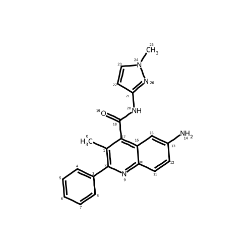 Cc1c(-c2ccccc2)nc2ccc(N)cc2c1C(=O)Nc1ccn(C)n1